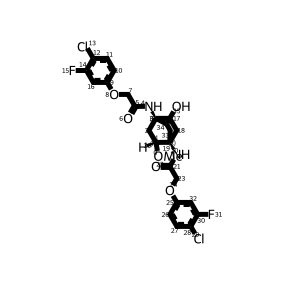 CO[C@@H]1C[C@]2(NC(=O)COc3ccc(Cl)c(F)c3)CC[C@@]1(NC(=O)COc1ccc(Cl)c(F)c1)CC2O